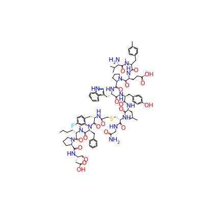 CCCC[C@@H](C(=O)N1CCC[C@@H]1C(=O)N[C@H](C=O)CC(=O)O)N(C)C(=O)[C@H](Cc1ccccc1)N(C)C(=O)[C@H](Cc1ccc(F)cc1)NC(=O)CSC[C@H](NC(=O)[C@H](CC(C)C)NC(=O)[C@H](Cc1ccc(O)cc1)NC(=O)[C@H](Cc1c[nH]c2ccccc12)NC(=O)C1CCCN1C(=O)[C@H](CCC(=O)O)NC(=O)C(Cc1ccc(C)cc1)N(C)C(=O)[C@@H](N)C(C)C)C(=O)NCC(N)=O